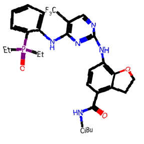 CCP(=O)(CC)c1ccccc1Nc1nc(Nc2ccc(C(=O)NOCC(C)C)c3c2OCC3)ncc1C(F)(F)F